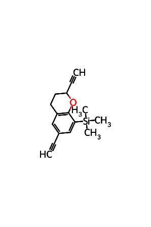 C#Cc1cc2c(c([Si](C)(C)C)c1)OC(C#C)CC2